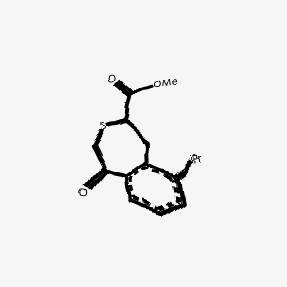 COC(=O)C1Cc2c(cccc2C(C)C)C(=O)CS1